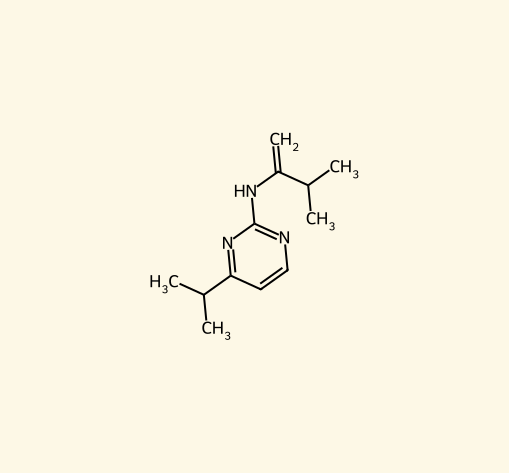 C=C(Nc1nccc(C(C)C)n1)C(C)C